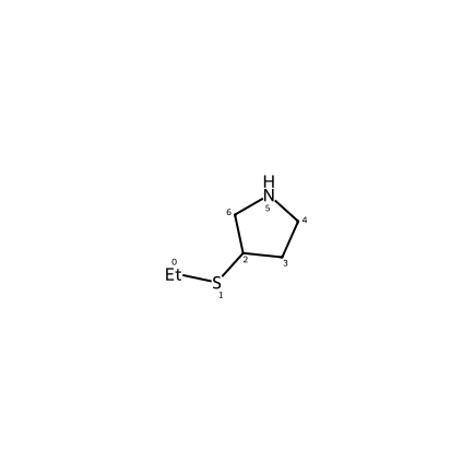 CCSC1CCNC1